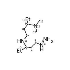 CCC(CCNN)NCCC(CC)N(C)C